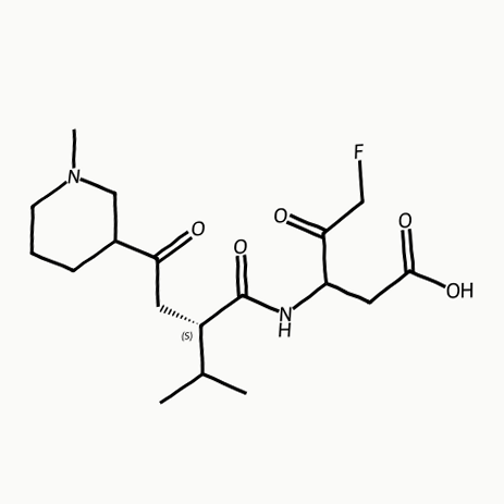 CC(C)[C@H](CC(=O)C1CCCN(C)C1)C(=O)NC(CC(=O)O)C(=O)CF